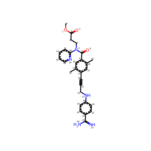 COC(=O)CCN(C(=O)c1cc(C)c(C#CCNc2ccc(C(=N)N)cc2)cc1C)c1ccccn1